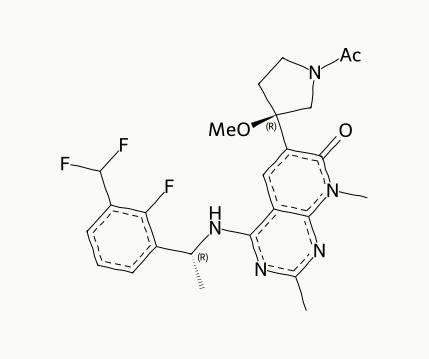 CO[C@@]1(c2cc3c(N[C@H](C)c4cccc(C(F)F)c4F)nc(C)nc3n(C)c2=O)CCN(C(C)=O)C1